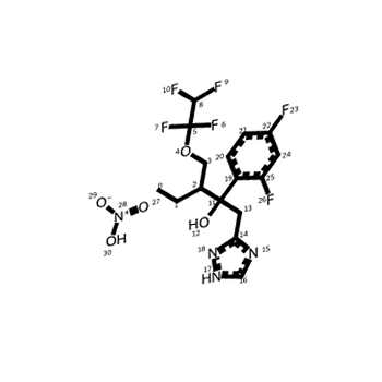 CCC(COC(F)(F)C(F)F)C(O)(Cc1nc[nH]n1)c1ccc(F)cc1F.O=[N+]([O-])O